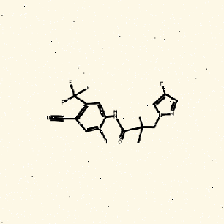 CC(C)(Cn1cc(F)cn1)C(=O)Nc1cc(C(F)(F)F)c(C#N)cc1I